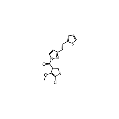 COC1=C(Cl)SCC1C(=O)n1ccc(/C=C/c2cccs2)n1